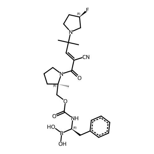 CC(C)(C=C(C#N)C(=O)N1CCC[C@]1(C)COC(=O)N[C@@H](Cc1ccccc1)B(O)O)N1CC[C@@H](F)C1